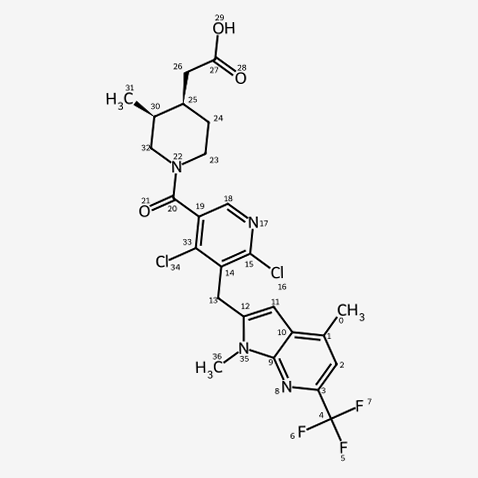 Cc1cc(C(F)(F)F)nc2c1cc(Cc1c(Cl)ncc(C(=O)N3CC[C@H](CC(=O)O)[C@H](C)C3)c1Cl)n2C